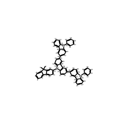 CC1(C)c2ccccc2-c2ccc(-n3c4ccc(-c5ccc6c(c5)c5ccccc5n6-c5ccccc5)cc4c4cc(-c5ccc6c(c5)c5ccccc5n6-c5ccccc5)ccc43)cc21